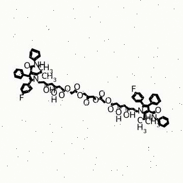 CC(C)c1c(C(=O)Nc2ccccc2)c(-c2ccccc2)c(-c2ccc(F)cc2)n1CC[C@@H](O)C[C@@H](O)CC(=O)OCC(=O)OCC(=O)COC(=O)COC(=O)C[C@H](O)C[C@H](O)CCn1c(-c2ccc(F)cc2)c(-c2ccccc2)c(C(=O)Nc2ccccc2)c1C(C)C